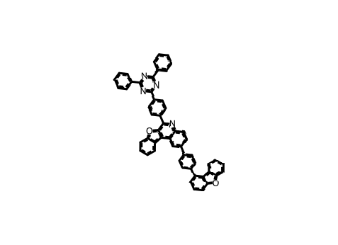 c1ccc(-c2nc(-c3ccccc3)nc(-c3ccc(-c4nc5ccc(-c6ccc(-c7cccc8oc9ccccc9c78)cc6)cc5c5c4oc4ccccc45)cc3)n2)cc1